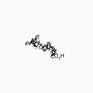 CC(C)n1nc(Cl)c2cc(COc3ccc4c(c3)OCC(CN3CCC(C(=O)O)C3)=C4)ccc21